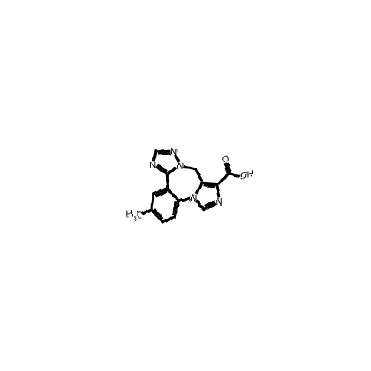 Cc1ccc2c(c1)-c1ncnn1Cc1c(C(=O)O)ncn1-2